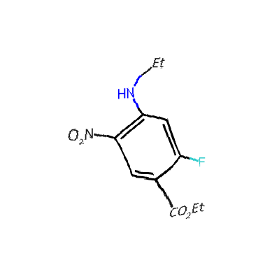 CCNc1cc(F)c(C(=O)OCC)cc1[N+](=O)[O-]